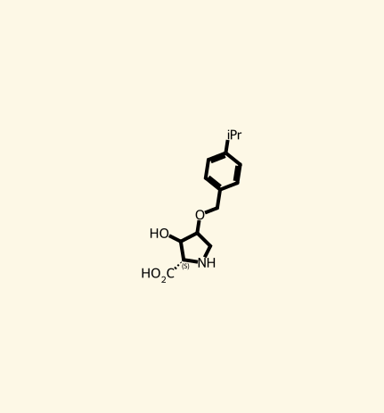 CC(C)c1ccc(COC2CN[C@H](C(=O)O)C2O)cc1